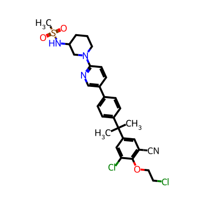 CC(C)(c1ccc(-c2ccc(N3CCCC(NS(C)(=O)=O)C3)nc2)cc1)c1cc(Cl)c(OCCCl)c(C#N)c1